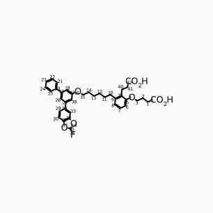 O=C(O)CCCOc1cccc(CCCCCCOc2cc(-c3ccccc3)cc(-c3ccc4c(c3)OC(F)O4)c2)c1CCC(=O)O